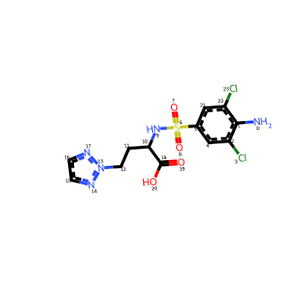 Nc1c(Cl)cc(S(=O)(=O)NC(CCn2nccn2)C(=O)O)cc1Cl